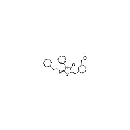 COCc1cccc(C=C2SC(=NCCc3ccccc3)N(c3ccccc3)C2=O)c1